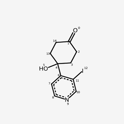 O=C1CCC(O)(c2ccncc2I)CC1